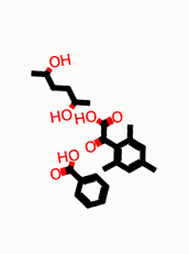 CC(O)CCC(C)O.Cc1cc(C)c(C(=O)C(=O)O)c(C)c1.O=C(O)c1ccccc1